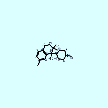 Cc1ccc2c(c1)C(O)(C1CCN(C)CC1)C(C)(C)CC2